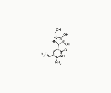 C=Cc1cc(C2N[C@H](CO)[C@@H](O)[C@H]2O)c(=O)[nH]c1N